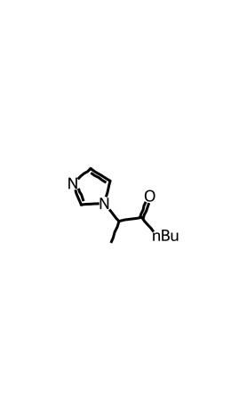 CCCCC(=O)C(C)n1ccnc1